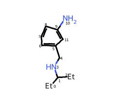 CCC(CC)NCc1cccc(N)c1